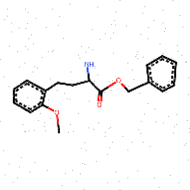 COc1ccccc1CCC(N)C(=O)OCc1ccccc1